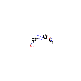 Cc1ccc(Oc2ccc(Nc3ncnc4ccc(/C=C/C(=O)O)cc34)cc2C)cn1